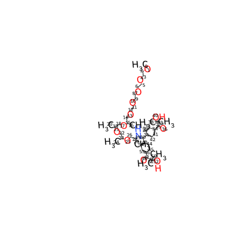 COCCOCCOCCOCCOCC(C)OCC(C)OCC(C)OCC(C)NC(c1ccc(C(=O)C(C)(C)O)cc1)c1ccc(C(=O)C(C)(C)O)cc1